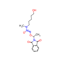 CC(ON=[N+]([O-])N(C)CCCCCO)N1C(=O)c2ccccc2C1=O